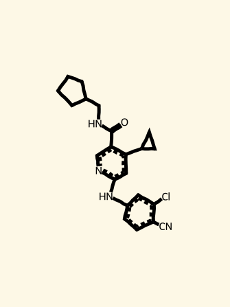 N#Cc1ccc(Nc2cc(C3CC3)c(C(=O)NCC3CCCC3)cn2)cc1Cl